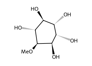 CO[C@H]1[C@H](O)[C@@H](O)[C@H](O)[C@H](O)[C@H]1O